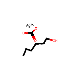 CCCCCCO.O=C([O-])[O-].[Ag+2]